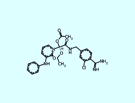 CCO[C@](OC(C)=O)(C(=O)NCc1ccc(C(=N)N)c(Cl)c1)n1cccc(Nc2ccccc2)c1=O